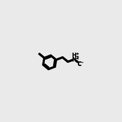 [CH2-][NH2+]CCc1cccc(C)c1